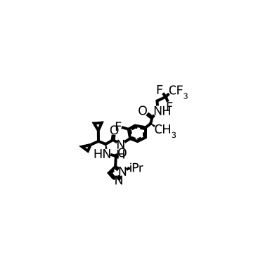 CC(C)n1nccc1C(=O)N[C@H](C(=O)Nc1ccc([C@H](C)C(=O)NCC(F)(F)C(F)(F)F)cc1F)C(C1CC1)C1CC1